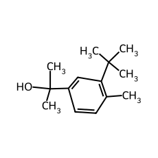 Cc1ccc(C(C)(C)O)cc1C(C)(C)C